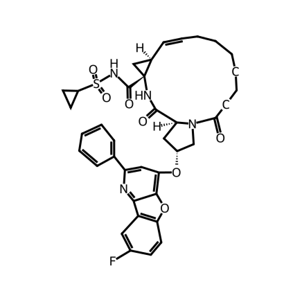 O=C1N[C@]2(C(=O)NS(=O)(=O)C3CC3)C[C@H]2/C=C\CCCCCCC(=O)N2C[C@H](Oc3cc(-c4ccccc4)nc4c3oc3ccc(F)cc34)C[C@@H]12